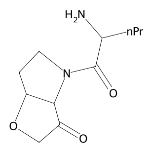 CCCC(N)C(=O)N1CCC2OCC(=O)C21